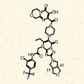 CCc1c(N2CCN(C(=O)c3nc4n(c(=O)c3O)CCOC4)CC2)c(=O)n2nc(N3C[C@H]4COC[C@H]4C3)nc2n1CC(=O)Nc1ccc(C(F)(F)F)cc1Cl